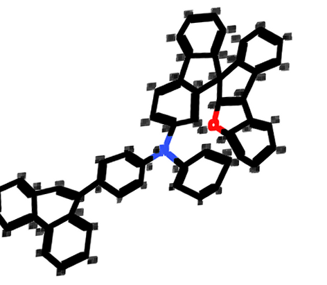 c1ccc(N(c2ccc(-c3cc4ccccc4c4ccccc34)cc2)c2ccc3c(c2)C2(c4ccccc4-3)c3ccccc3-c3c2oc2ccccc32)cc1